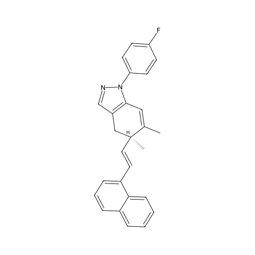 CC1=Cc2c(cnn2-c2ccc(F)cc2)C[C@]1(C)C=Cc1cccc2ccccc12